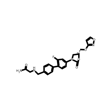 NC(=O)CNCc1ccc(-c2ccc(N3C[C@H](COc4ccon4)OC3=O)cc2F)cc1